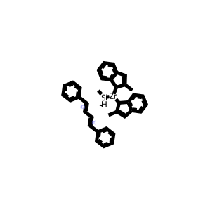 C(/C=C/c1ccccc1)=C\c1ccccc1.CC1=Cc2ccccc2[CH]1[Zr]([CH]1C(C)=Cc2ccccc21)[SiH](C)C